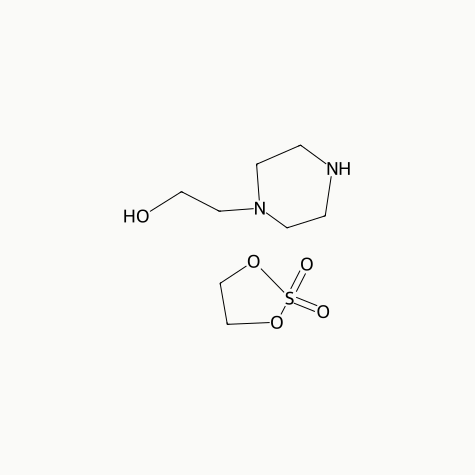 O=S1(=O)OCCO1.OCCN1CCNCC1